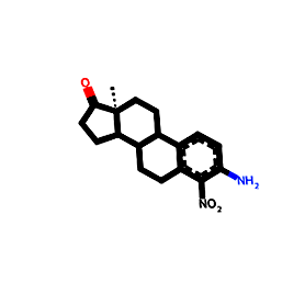 C[C@]12CCC3c4ccc(N)c([N+](=O)[O-])c4CCC3C1CCC2=O